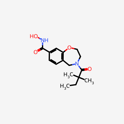 CCC(C)(C)C(=O)N1CCOc2cc(C(=O)NO)ccc2C1